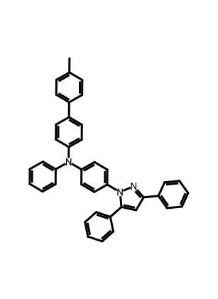 Cc1ccc(-c2ccc(N(c3ccccc3)c3ccc(-n4nc(-c5ccccc5)cc4-c4ccccc4)cc3)cc2)cc1